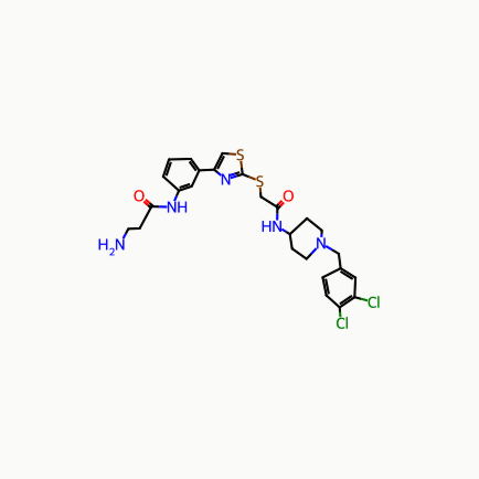 NCCC(=O)Nc1cccc(-c2csc(SCC(=O)NC3CCN(Cc4ccc(Cl)c(Cl)c4)CC3)n2)c1